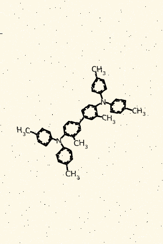 Cc1ccc(N(c2ccc(C)cc2)c2ccc(-c3ccc(N(c4ccc(C)cc4)c4ccc(C)cc4)c(C)c3)cc2C)cc1